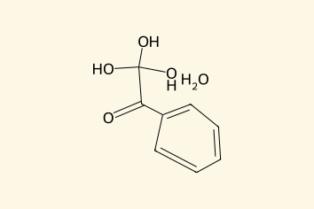 O.O=C(c1ccccc1)C(O)(O)O